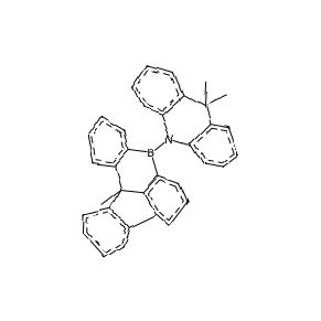 CC1(C)c2ccccc2N(B2c3ccccc3C3(C)c4ccccc4-c4cccc2c43)c2ccccc21